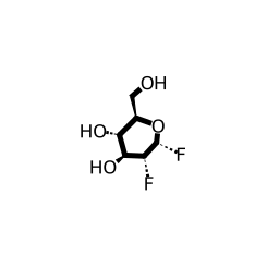 OC[C@H]1O[C@H](F)[C@H](F)[C@@H](O)[C@@H]1O